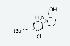 CC(C)(C)CCc1ccc(C2(N)CCCCC2CO)cc1Cl